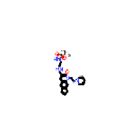 CS(=O)(=O)NCCNCc1cc2cc3c(cc2n(CCN2CCCCC2)c1=O)CCC3